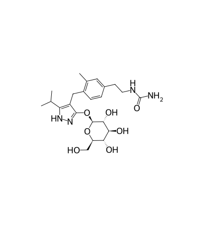 Cc1cc(CCNC(N)=O)ccc1Cc1c(O[C@@H]2O[C@H](CO)[C@@H](O)[C@H](O)[C@H]2O)n[nH]c1C(C)C